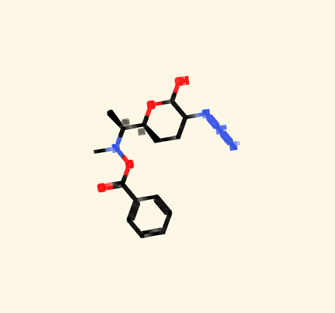 C[C@@H]([C@@H]1CCC(N=[N+]=[N-])C(O)O1)N(C)OC(=O)c1ccccc1